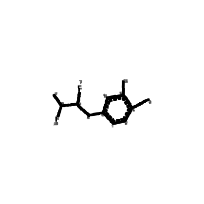 Cc1ccc(CC(F)C(C)F)cc1C